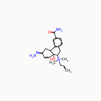 C=CC[N+](C)(C)[C@@H]1Cc2ccc(C(N)=O)cc2C2C/C(=N/N)C=C[C@]21O